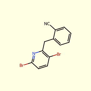 N#Cc1ccccc1Cc1nc(Br)ccc1Br